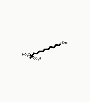 CCCCCCCCCCCCCCCCCCCCC(C)(C(=O)O)C(=O)O